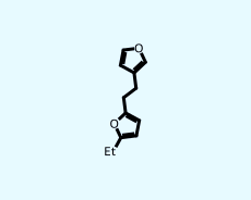 CCc1ccc(CCc2ccoc2)o1